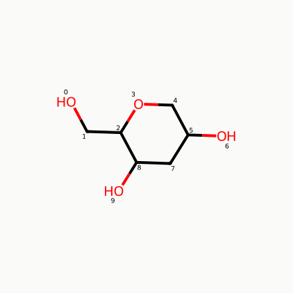 OCC1OCC(O)CC1O